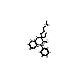 CCC1(CCCNC)Cc2ccccc2N(c2ccccc2)C1=O